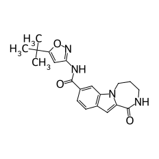 CC(C)(C)c1cc(NC(=O)c2ccc3cc4n(c3c2)CCCNC4=O)no1